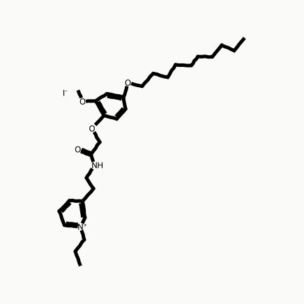 CCCCCCCCCCOc1ccc(OCC(=O)NCCc2ccc[n+](CCC)c2)c(OC)c1.[I-]